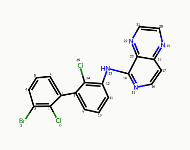 Clc1c(Br)cccc1-c1cccc(Nc2nccc3nccnc23)c1Cl